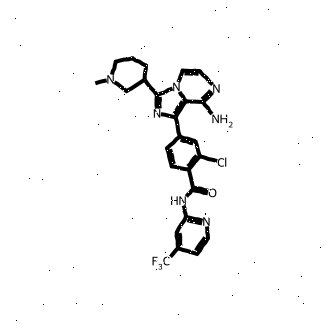 CN1CCCC(c2nc(-c3ccc(C(=O)Nc4cc(C(F)(F)F)ccn4)c(Cl)c3)c3c(N)nccn23)C1